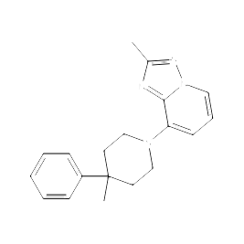 Cc1nc2c(N3CCC(C)(c4ccccc4)CC3)cccn2n1